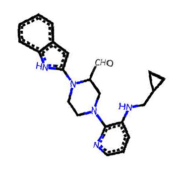 O=CC1CN(c2ncccc2NCC2CC2)CCN1c1cc2ccccc2[nH]1